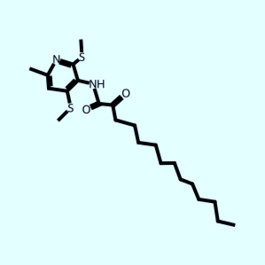 CCCCCCCCCCCCC(=O)C(=O)Nc1c(SC)cc(C)nc1SC